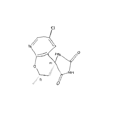 C[C@H]1C[C@@]2(NC(=O)NC2=O)c2cc(Cl)cnc2O1